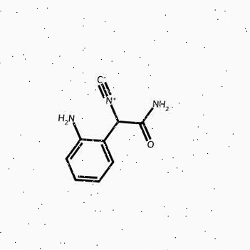 [C-]#[N+]C(C(N)=O)c1ccccc1N